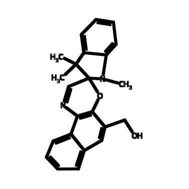 CN1c2ccccc2C(C)(C)C12C=Nc1c(c(CO)cc3ccccc13)O2